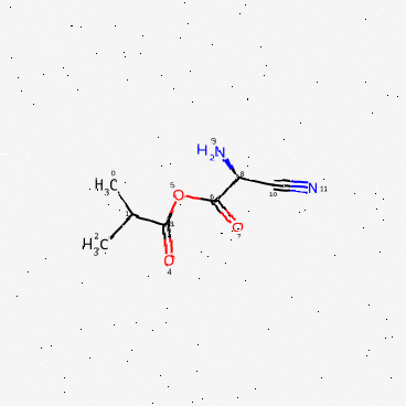 CC(C)C(=O)OC(=O)[C@@H](N)C#N